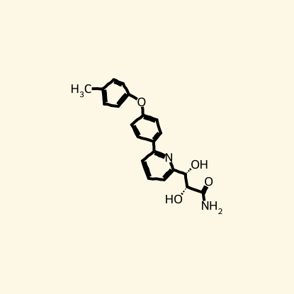 Cc1ccc(Oc2ccc(-c3cccc([C@H](O)[C@@H](O)C(N)=O)n3)cc2)cc1